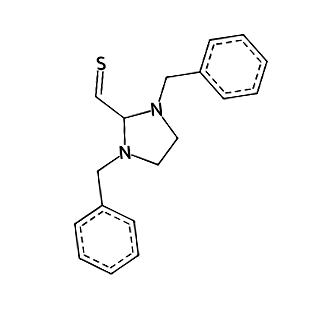 S=CC1N(Cc2ccccc2)CCN1Cc1ccccc1